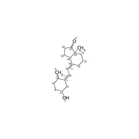 C=C1CCC(O)C/C1=C/C=C1\CCCC2(C)C(=O)CCC12